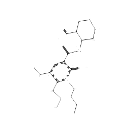 CCCCn1c(CCC)c(CC)cc(C(=O)NC2CCCCC2C=O)c1=O